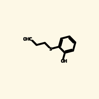 O=CCCSc1ccccc1O